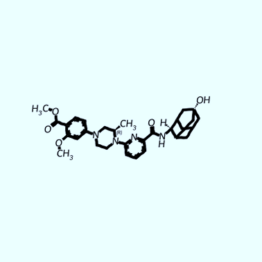 COC(=O)c1ccc(N2CCN(c3cccc(C(=O)N[C@H]4C5CC6CC4C[C@](O)(C6)C5)n3)[C@H](C)C2)cc1OC